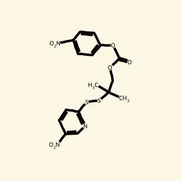 CC(C)(COC(=O)Oc1ccc([N+](=O)[O-])cc1)SSc1ccc([N+](=O)[O-])cn1